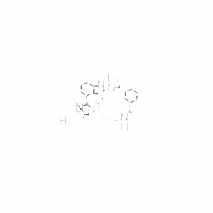 CC1CCCCNC(=O)c2cccc(c2)C(=O)Nc2nc3cccc(-c4ncn(C)n4)c3n21